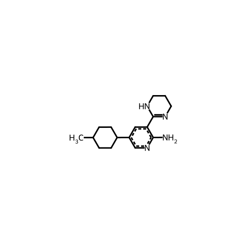 CC1CCC(c2cnc(N)c(C3=NCCCN3)c2)CC1